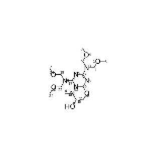 COCN(COC)C1=NC(OC)N(N(C)CO)C(N(COC)COC)=N1